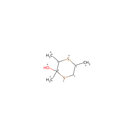 CC1CSC(C)(O)C(C)S1